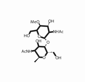 CO[C@@H]1C(CO)O[C@@H](O[C@H]2C(O)C(NC(C)=O)[C@H](C)O[C@H]2CO)C(NC(C)=O)[C@H]1O